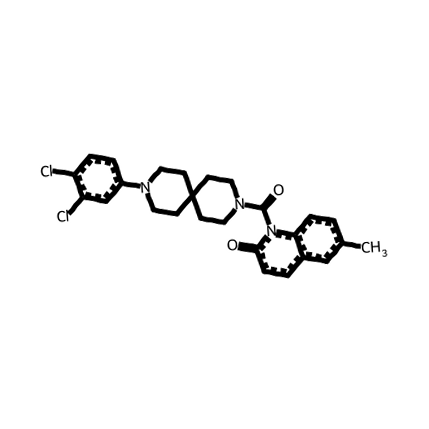 Cc1ccc2c(ccc(=O)n2C(=O)N2CCC3(CC2)CCN(c2ccc(Cl)c(Cl)c2)CC3)c1